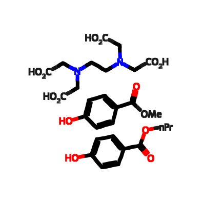 CCCOC(=O)c1ccc(O)cc1.COC(=O)c1ccc(O)cc1.O=C(O)CN(CCN(CC(=O)O)CC(=O)O)CC(=O)O